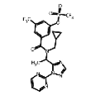 CC(c1ncnn1-c1ncccn1)N(CC1CC1)C(=O)c1cc(OS(=O)(=O)C(F)(F)F)cc(C(F)(F)F)c1